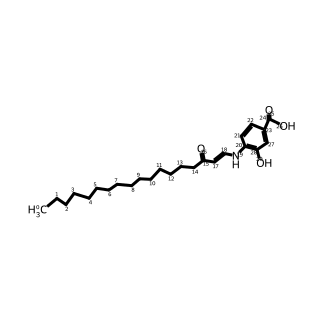 CCCCCCCCCCCCCCCC(=O)/C=C/Nc1ccc(C(=O)O)cc1O